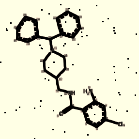 Nc1cc(Cl)ccc1C(=O)NCC1CCN(C(c2ccccc2)c2ccccc2)CC1